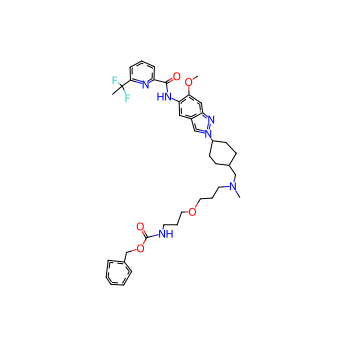 COc1cc2nn(C3CCC(CN(C)CCCOCCCNC(=O)OCc4ccccc4)CC3)cc2cc1NC(=O)c1cccc(C(C)(F)F)n1